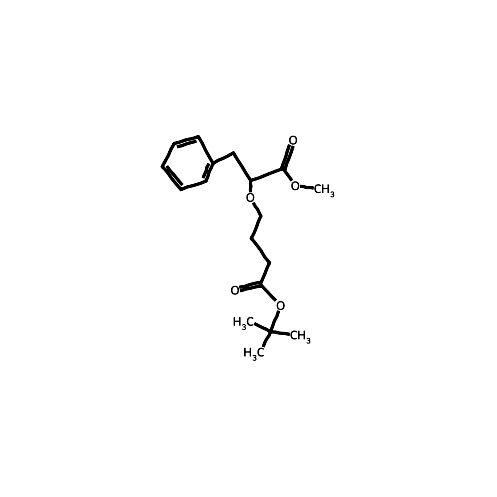 COC(=O)C(Cc1ccccc1)OCCCC(=O)OC(C)(C)C